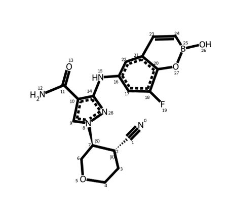 N#C[C@@H]1CCOC[C@H]1n1cc(C(N)=O)c(Nc2cc(F)c3c(c2)C=CB(O)O3)n1